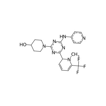 CN1C(C(F)(F)F)=CC=CC1c1nc(Nc2ccncc2)nc(N2CCC(O)CC2)n1